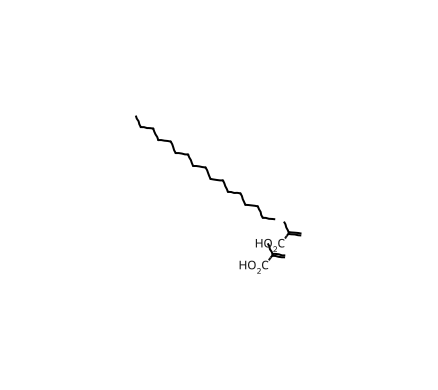 C=C(C)C(=O)O.C=C(C)C(=O)O.CCCCCCCCCCCCCCCCC